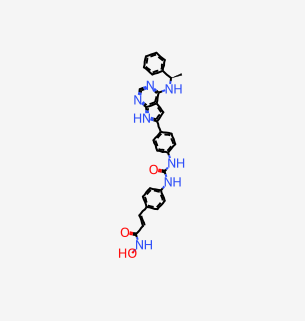 C[C@@H](Nc1ncnc2[nH]c(-c3ccc(NC(=O)Nc4ccc(/C=C/C(=O)NO)cc4)cc3)cc12)c1ccccc1